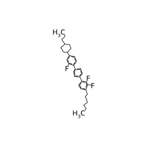 CCCCCCc1ccc(-c2ccc(-c3ccc(C4CCC(CCC)CC4)cc3F)cc2)c(F)c1F